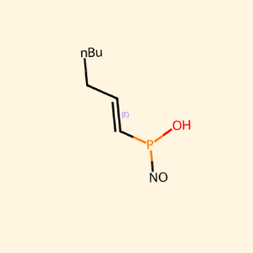 CCCCC/C=C/P(O)N=O